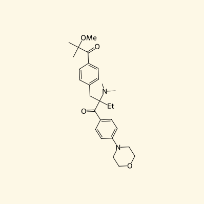 CCC(Cc1ccc(C(=O)C(C)(C)OC)cc1)(C(=O)c1ccc(N2CCOCC2)cc1)N(C)C